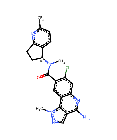 CN(C(=O)c1cc2c(cc1Cl)nc(N)c1cnn(C)c12)[C@H]1CCc2nc(C(F)(F)F)ccc21